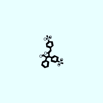 CS(=O)(=O)c1ccc(/C=C2\OC(=O)C(c3ccccc3)=C2c2ccc(S(C)(=O)=O)cc2)cc1